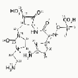 CC(C)(O/N=C(\C(=O)NC1C(=O)N(S(=O)(=O)O)[C@H]1CN1CCN(CCN)C1=O)c1csc(N)n1)C(=O)O